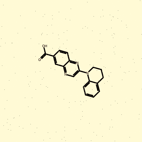 O=C(O)c1ccc2nc(N3CCCc4ccccc43)cnc2c1